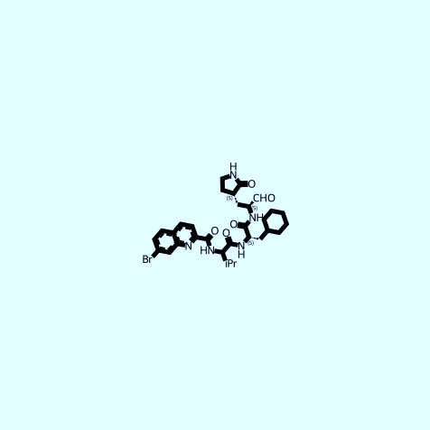 CC(C)C(NC(=O)c1ccc2ccc(Br)cc2n1)C(=O)N[C@@H](CC1CCCCC1)C(=O)N[C@H](C=O)C[C@@H]1CCNC1=O